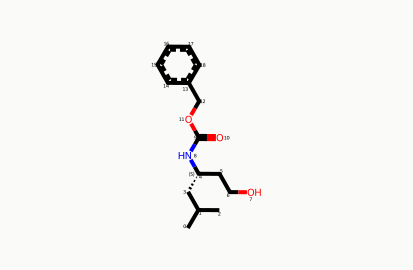 CC(C)C[C@@H](CCO)NC(=O)OCc1ccccc1